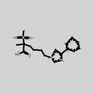 CC(CCCCn1cnc(-c2ccccc2)c1)(C(=O)O)S(C)(=O)=O